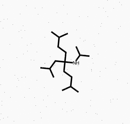 CC(C)CCC(CCC(C)C)(CC(C)C)NC(C)C